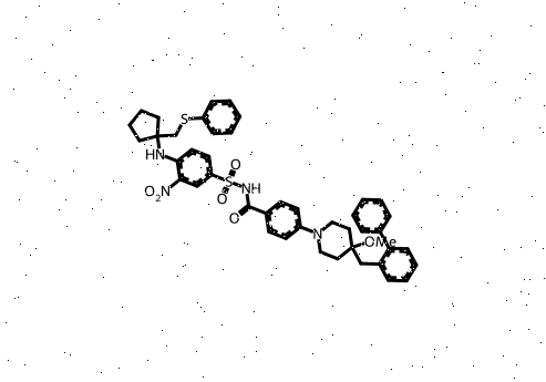 COC1(Cc2ccccc2-c2ccccc2)CCN(c2ccc(C(=O)NS(=O)(=O)c3ccc(NC4(CSc5ccccc5)CCCC4)c([N+](=O)[O-])c3)cc2)CC1